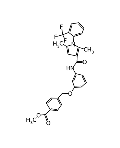 COC(=O)c1ccc(COc2cccc(NC(=O)c3cc(C)n(-c4ccccc4C(F)(F)F)c3C)c2)cc1